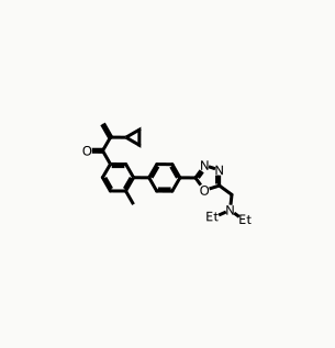 C=C(C(=O)c1ccc(C)c(-c2ccc(-c3nnc(CN(CC)CC)o3)cc2)c1)C1CC1